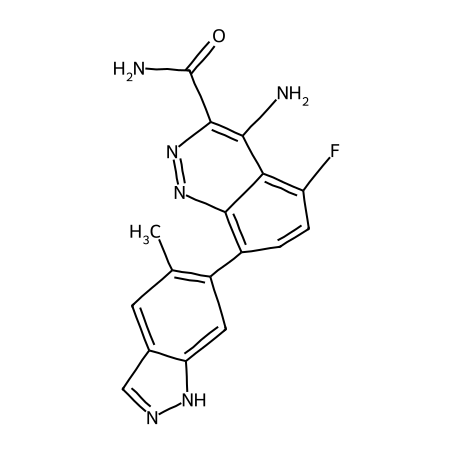 Cc1cc2cn[nH]c2cc1-c1ccc(F)c2c(N)c(C(N)=O)nnc12